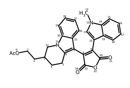 CC(=O)OCCC1CCc2c(C3=C(c4cn(C)c5ccccc45)C(=O)OC3=O)c3ccccc3n2C1